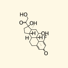 C[C@]12C(F)=CC(=O)C=C1CC[C@@H]1[C@@H]2C(O)C[C@@]2(C)[C@H]1CC[C@]2(O)C(=O)CO